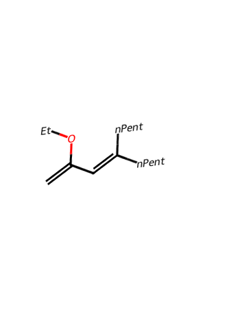 C=C(C=C(CCCCC)CCCCC)OCC